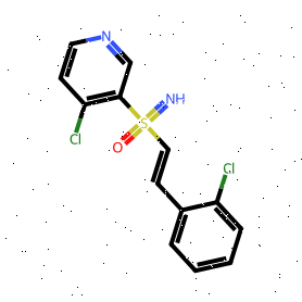 N=S(=O)(/C=C/c1ccccc1Cl)c1cnccc1Cl